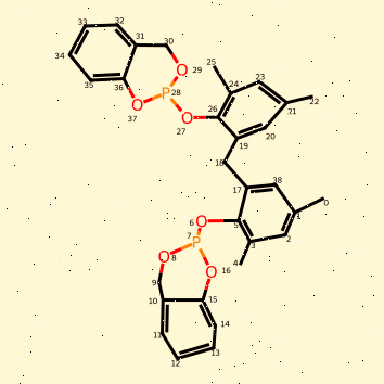 Cc1cc(C)c(OP2OCc3ccccc3O2)c(Cc2cc(C)cc(C)c2OP2OCc3ccccc3O2)c1